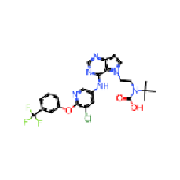 CC(C)(C)N(CCn1ccc2ncnc(Nc3cnc(Oc4cccc(C(F)(F)F)c4)c(Cl)c3)c21)C(=O)O